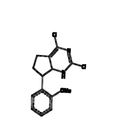 COc1ccccc1C1CCC2=C(Cl)N=C(Cl)NC21